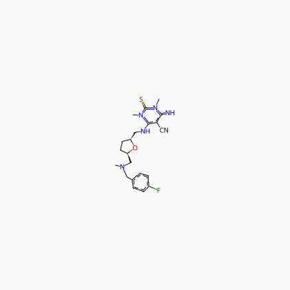 CN(Cc1ccc(F)cc1)C[C@H]1CC[C@@H](CNc2c(C#N)c(=N)n(C)c(=S)n2C)O1